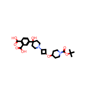 CC(C)(C)OC(=O)N1CCC(O[C@H]2C[C@H](N3CCC(O)(c4ccc(C(=O)O)c(C(=O)O)c4)CC3)C2)CC1